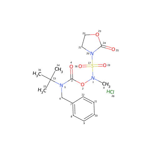 CN(OC(=O)N(Cc1ccccc1)C(C)(C)C)S(=O)(=O)N1CCOC1=O.Cl